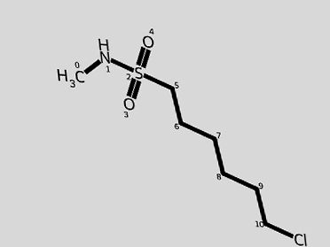 CNS(=O)(=O)CCCCCCCl